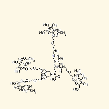 CC(=O)N[C@H]1[C@H](OCCOCCN/C=C(/CN(CCCC[C@@H](C(=O)O)N(Cc2cn(CCOCCO[C@@H]3O[C@H](CO)[C@H](O)[C@H](O)[C@H]3NC(C)=O)nn2)Cc2cn(CCOCCO[C@@H]3O[C@H](CO)[C@H](O)[C@H](O)[C@H]3NC(C)=O)nn2)CC2=CN(CCOCCO[C@@H]3O[C@H](CO)[C@H](O)[C@H](O)[C@H]3NC(C)=O)NN2)N=N)O[C@H](CO)[C@H](O)[C@@H]1O